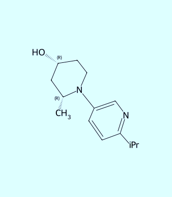 CC(C)c1ccc(N2CC[C@@H](O)C[C@H]2C)cn1